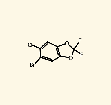 FC1(F)Oc2cc(Cl)c(Br)cc2O1